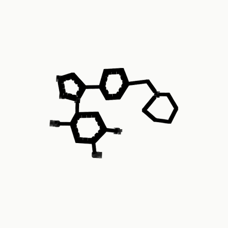 CC(C)c1cc(-n2nncc2-c2ccc(CN3CCCCC3)cc2)c(O)cc1O